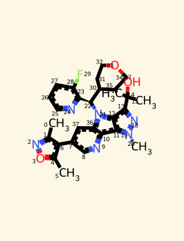 Cc1noc(C)c1-c1cnc2c3c(c(C(C)(C)O)nn3C)n([C@@H](c3ncccc3F)C3CCOCC3)c2c1